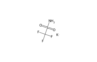 NS(=O)(=O)C(F)(F)F.[K]